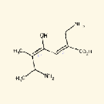 C/C(=C(O)/C=C(\CN)C(=O)O)C(C)N